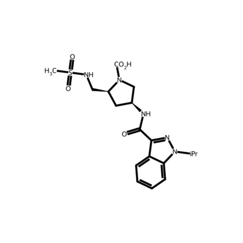 CC(C)n1nc(C(=O)N[C@H]2C[C@@H](CNS(C)(=O)=O)N(C(=O)O)C2)c2ccccc21